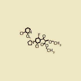 CCO/C=C(\C(=O)OCC)C(=O)c1cc(Cl)c(N2CCC[C@@H]2COc2ncccc2Cl)cc1F